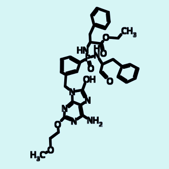 CCOC(=O)C(Cc1ccccc1)NP(=O)(NC(C=O)Cc1ccccc1)c1cccc(Cn2c(O)nc3c(N)nc(OCCOC)nc32)c1